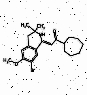 COc1cc2c(cc1Br)C(=CC(=O)C1CCCCCC1)NC(C)(C)C2